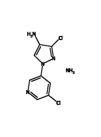 N.Nc1cn(-c2cncc(Cl)c2)nc1Cl